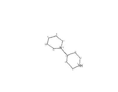 [CH]1CNCCC1N1CCCCC1